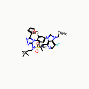 COCn1cnc2c(/C=C(\C)S(=O)(=O)N(CC[Si](C)(C)C)c3nnc(-c4ccco4)n3-c3c(OC)cccc3OC)ncc(F)c21